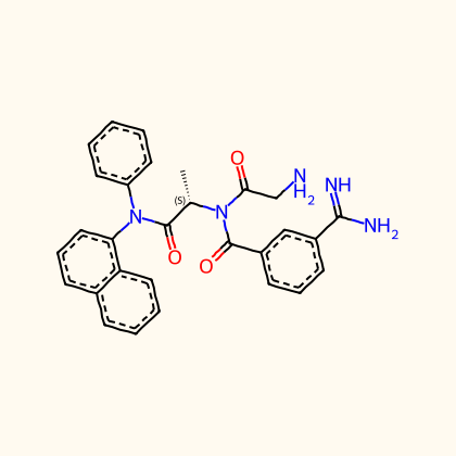 C[C@@H](C(=O)N(c1ccccc1)c1cccc2ccccc12)N(C(=O)CN)C(=O)c1cccc(C(=N)N)c1